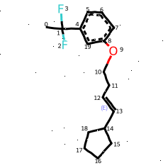 CC(F)(F)c1cccc(OCC/C=C/C2CCCC2)c1